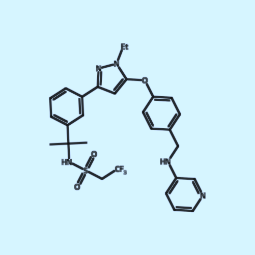 CCn1nc(-c2cccc(C(C)(C)NS(=O)(=O)CC(F)(F)F)c2)cc1Oc1ccc(CNc2cccnc2)cc1